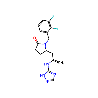 C=C(CC1CCC(=O)N1Cc1cccc(F)c1F)Nc1ncn[nH]1